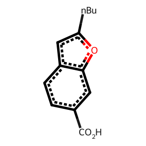 CCCCc1cc2ccc(C(=O)O)cc2o1